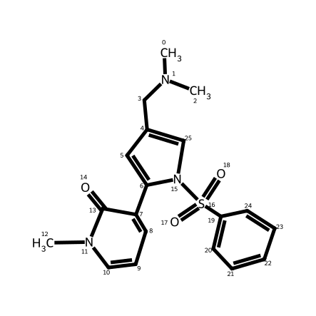 CN(C)Cc1cc(-c2cccn(C)c2=O)n(S(=O)(=O)c2ccccc2)c1